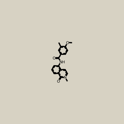 COc1ccc(C(=O)Nc2cccc3c(=O)n(C)ccc23)cc1C